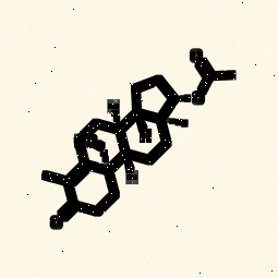 CC(=O)O[C@H]1CC[C@H]2[C@@H]3CCC4=C(C)C(=O)CC[C@]4(CO)[C@H]3CC[C@]12C